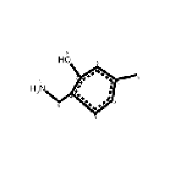 Cc1ccc(CN)c(O)c1